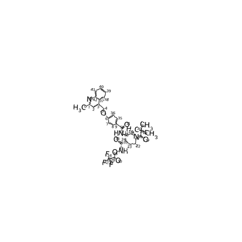 Cc1cc(COc2ccc(C(=O)N[C@H]3CN(C(=O)C(C)(C)C)CC[C@@H]3C(=O)NOC(=O)C(F)(F)F)cc2)c2ccccc2n1